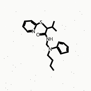 CCCCN(CNC(=O)C(Sc1ccccn1)C(C)C)c1ccccc1